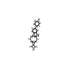 Cc1ccc(-c2ccc3c(c2)nc2n3CCCN(C3CCC3)CC2)cc1